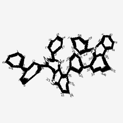 c1ccc(-c2cccc(-c3nc(-c4ccccc4)nc4c3sc3cccc(-c5cccc(-c6cccc7c8ccccc8n(-c8ccccc8)c67)c5)c34)c2)cc1